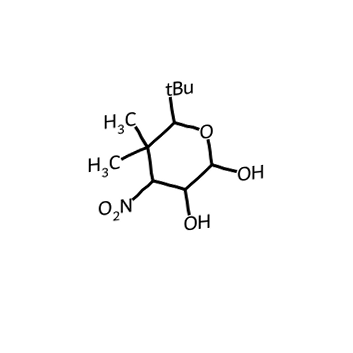 CC(C)(C)C1OC(O)C(O)C([N+](=O)[O-])C1(C)C